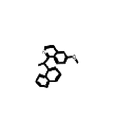 COc1ccc2c(C(C)c3cccc4ccccc34)nccc2c1